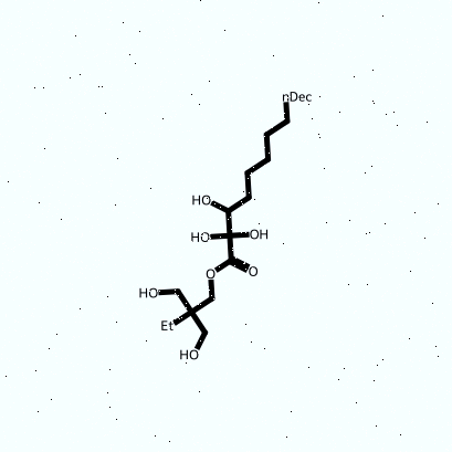 CCCCCCCCCCCCCCCC(O)C(O)(O)C(=O)OCC(CC)(CO)CO